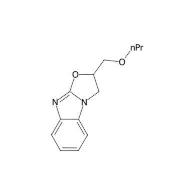 CCCOCC1Cn2c(nc3ccccc32)O1